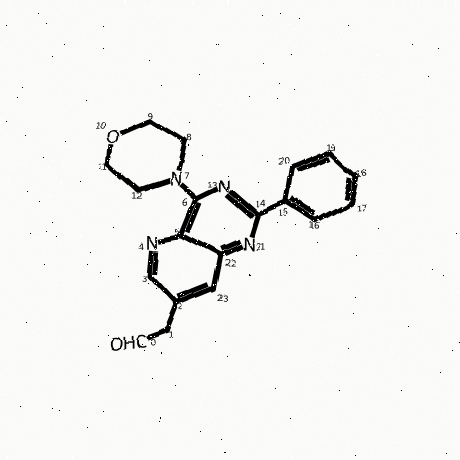 O=CCc1cnc2c(N3CCOCC3)nc(-c3ccccc3)nc2c1